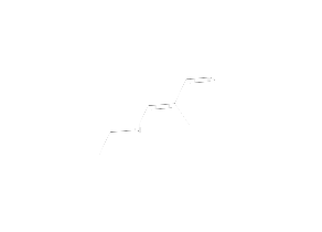 CCN/C=C(\C)C=N